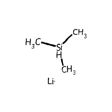 C[SiH](C)C.[Li]